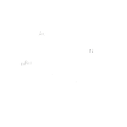 CCCCc1cc2cccnc2cc1C(C)=O